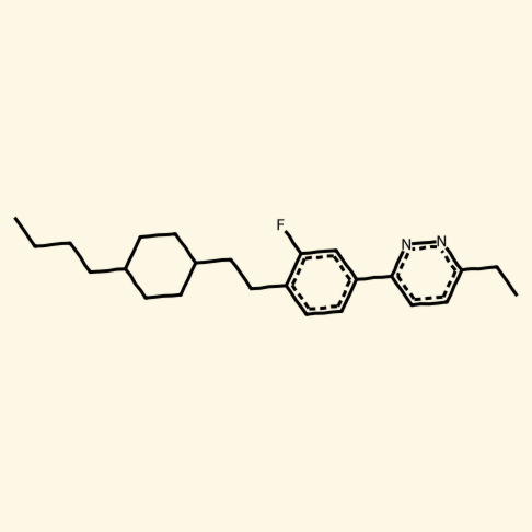 CCCCC1CCC(CCc2ccc(-c3ccc(CC)nn3)cc2F)CC1